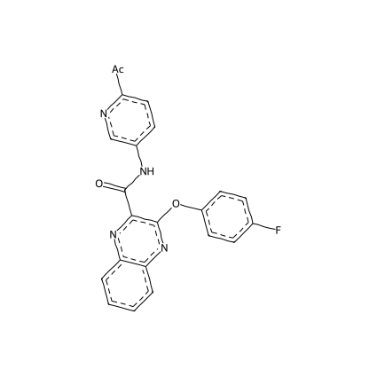 CC(=O)c1ccc(NC(=O)c2nc3ccccc3nc2Oc2ccc(F)cc2)cn1